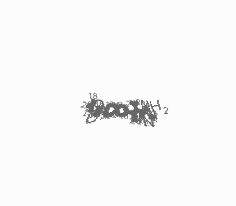 CC(C)c1c(C2=CCC3(CC2)CCN(C(=O)OC(C)(C)C)CC3)n(C)c2ncnc(N)c12